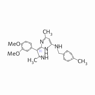 COc1ccc(/C(C(C)=N)=C2\N=C(C)C=C(NCc3ccc(C)cc3)N2)cc1OC